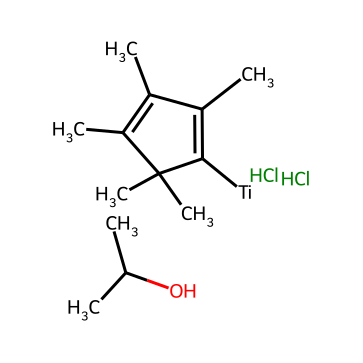 CC(C)O.CC1=C(C)C(C)(C)[C]([Ti])=C1C.Cl.Cl